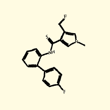 Cn1cc(CF)c(C(=S)Nc2ccccc2-c2ccc(F)cc2)c1